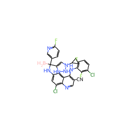 BC(Nc1cc(Cl)c2ncc(C#N)c(Nc3c(F)ccc(Cl)c3F)c2c1)(C1=CN(C2CC2)NN1)c1ccc(F)nc1